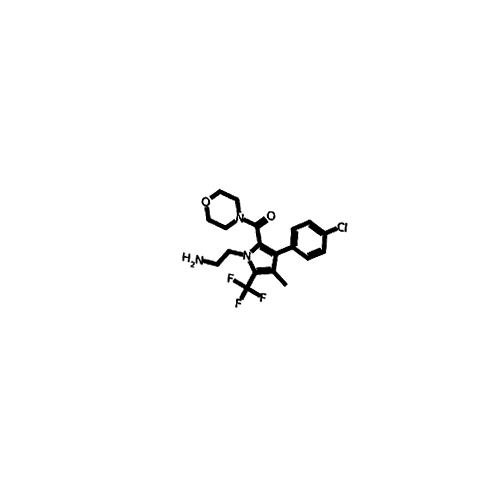 Cc1c(-c2ccc(Cl)cc2)c(C(=O)N2CCOCC2)n(CCN)c1C(F)(F)F